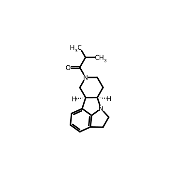 CC(C)C(=O)N1CC[C@@H]2[C@H](C1)c1cccc3c1N2CC3